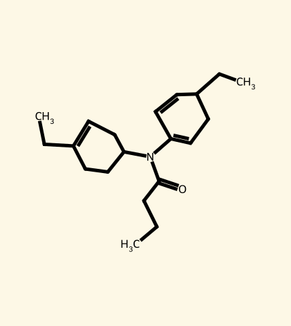 CCCC(=O)N(C1=CCC(CC)C=C1)C1CC=C(CC)CC1